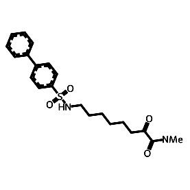 CNC(=O)C(=O)CCCCCCNS(=O)(=O)c1ccc(-c2ccccc2)cc1